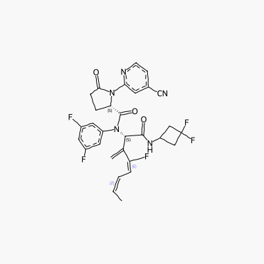 C=C(/C(F)=C\C=C/C)[C@@H](C(=O)NC1CC(F)(F)C1)N(C(=O)[C@@H]1CCC(=O)N1c1cc(C#N)ccn1)c1cc(F)cc(F)c1